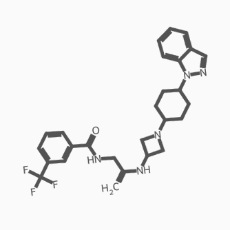 C=C(CNC(=O)c1cccc(C(F)(F)F)c1)NC1CN(C2CCC(n3ncc4ccccc43)CC2)C1